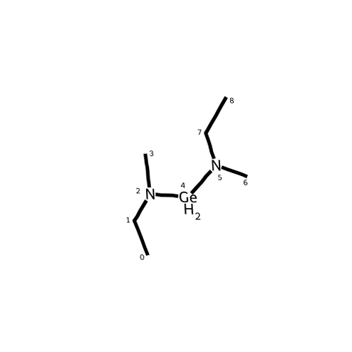 CC[N](C)[GeH2][N](C)CC